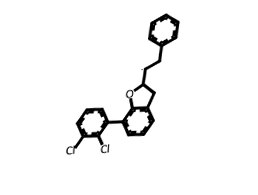 Clc1cccc(-c2cccc3c2OC([CH]Cc2ccccc2)C3)c1Cl